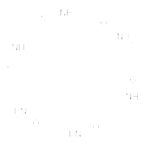 NC(=O)c1ccc(-c2c(-c3ccc(C(N)=O)cc3)c(-c3ccc(C(N)=O)cc3)c(-c3ccc(C(N)=O)cc3)c(-c3ccc(C(N)=O)cc3)c2-c2ccc(C(N)=O)cc2)cc1